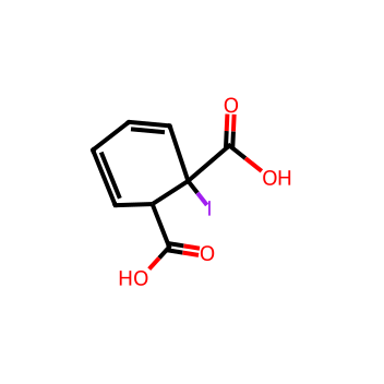 O=C(O)C1C=CC=CC1(I)C(=O)O